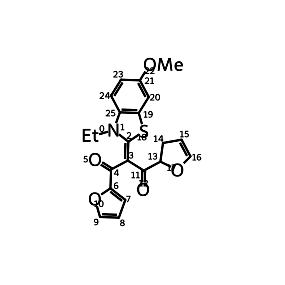 CCN1/C(=C(\C(=O)c2ccco2)C(=O)C2CC=CO2)Sc2cc(OC)ccc21